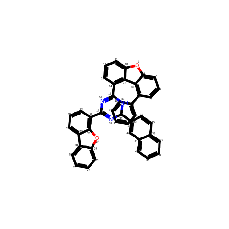 c1ccc(-c2cccc3oc4cccc(C5=NC(c6cccc7c6oc6ccccc67)=NC(c6ccc7ccccc7c6)N5)c4c23)cc1